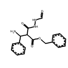 NC(c1ccccc1)C(C(=O)NNC=O)C(=O)OCc1ccccc1